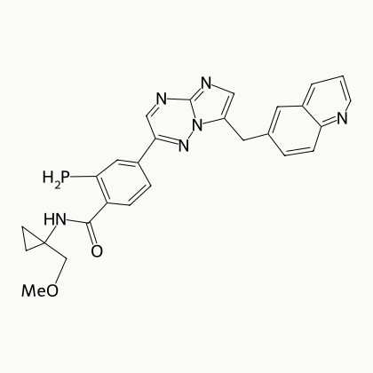 COCC1(NC(=O)c2ccc(-c3cnc4ncc(Cc5ccc6ncccc6c5)n4n3)cc2P)CC1